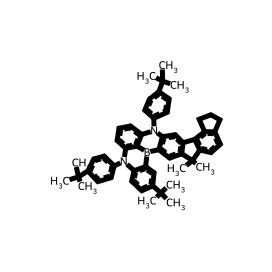 CC(C)(C)c1ccc(N2c3ccc(C(C)(C)C)cc3B3c4cc5c(cc4N(c4ccc(C(C)(C)C)cc4)c4cccc2c43)-c2c(ccc3c2CCC3)C5(C)C)cc1